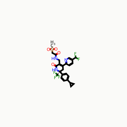 CS(=O)(=O)CC(=O)NCC1=C(c2ccc(C(F)F)cn2)C[C@](c2ccc(C3CC3)cc2)(C(F)(F)F)NC1=O